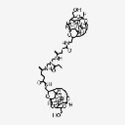 C=C(CCC(=O)NCC1O[C@@H]2OC3C(CO)O[C@H](OCCCCC1[C@H](O)C2O)C(O)[C@H]3O)NCN(CNC(=C)CCC(=O)NCC1O[C@@H]2OC3C(CO)O[C@H](OCCCCC1[C@H](O)C2O)C(O)[C@H]3O)C(=O)CC